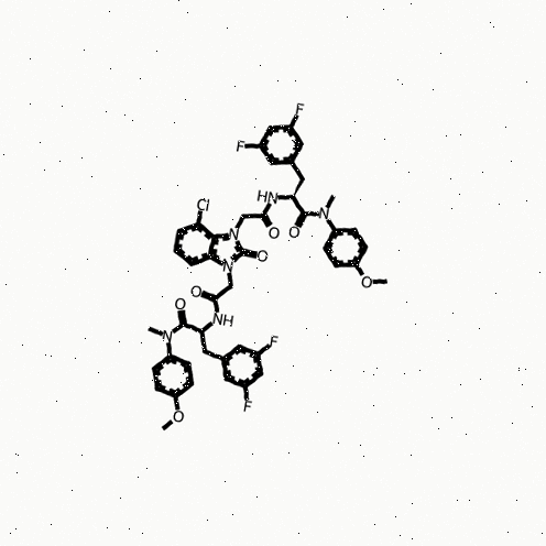 COc1ccc(N(C)C(=O)C(Cc2cc(F)cc(F)c2)NC(=O)Cn2c(=O)n(CC(=O)N[C@@H](Cc3cc(F)cc(F)c3)C(=O)N(C)c3ccc(OC)cc3)c3c(Cl)cccc32)cc1